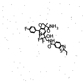 CCc1nc2ccc(C(=O)NC[C@](O)(c3cc4c(c(-c5ccc(F)cc5)n3)OC[C@]4(C)C(N)=O)C(F)(F)F)cc2s1